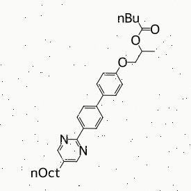 CCCCCCCCc1cnc(-c2ccc(-c3ccc(OCC(C)OC(=O)CCCC)cc3)cc2)nc1